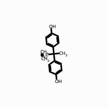 C=C.CC(C)(c1ccc(O)cc1)c1ccc(O)cc1